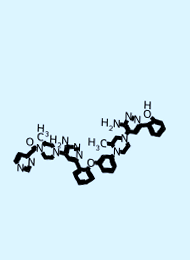 CC1CN(c2cc(-c3ccccc3Oc3cccc(N4CCN(c5cc(-c6ccccc6O)nnc5N)CC4C)c3)nnc2N)CCN1C(=O)c1ccncn1